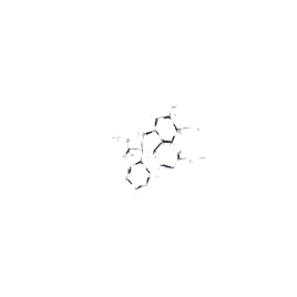 O=C(O)/C=C\C1=c2cc(Cl)c(Cl)cc2=NC1(C(=O)O)c1ccccc1